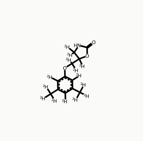 [2H]c1c(OC([2H])([2H])C2([2H])OC(=O)NC2([2H])[2H])c([2H])c(C([2H])([2H])[2H])c([2H])c1C([2H])([2H])[2H]